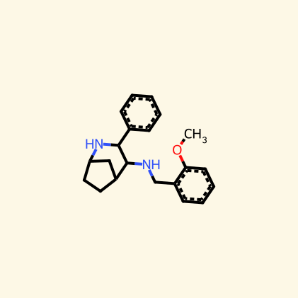 COc1ccccc1CNC1C2CCC(C2)NC1c1ccccc1